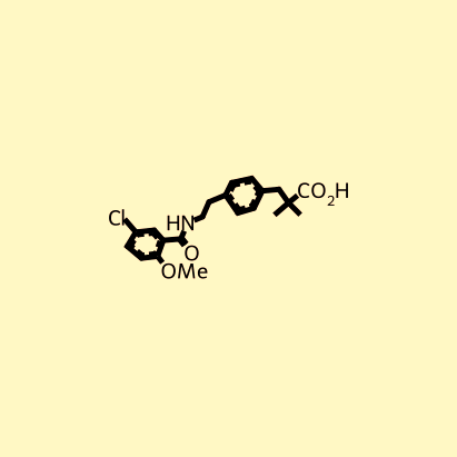 COc1ccc(Cl)cc1C(=O)NCCc1ccc(CC(C)(C)C(=O)O)cc1